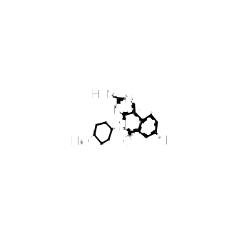 Nc1ncc2c3ccc(Cl)cc3c(=O)n([C@H]3CC[C@H](O)CC3)c2n1